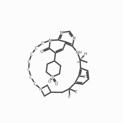 C[C@H]1Nc2ncnc3c2cc(C2CCS(=O)(=O)CC2)c(=O)n3CCCCCCCN2CC(C2)CC(F)(F)c2cccc1c2F